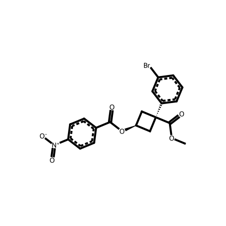 COC(=O)[C@]1(c2cccc(Br)c2)C[C@H](OC(=O)c2ccc([N+](=O)[O-])cc2)C1